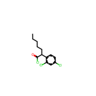 CCCCCC(C(=O)Cl)c1ccc(Cl)cc1Cl